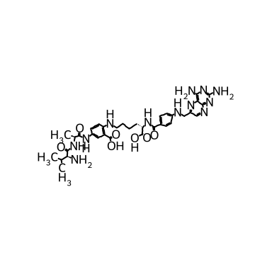 CC(C)[C@H](N)C(=O)N[C@@H](C)C(=O)Nc1ccc(NCCCC[C@H](NC(=O)c2ccc(NCc3cnc4nc(N)nc(N)c4n3)cc2)C(=O)O)c(C(=O)O)c1